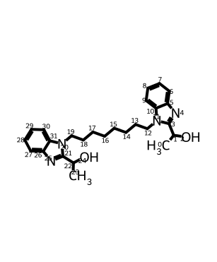 CC(O)c1nc2ccccc2n1CCCCCCCCn1c(C(C)O)nc2ccccc21